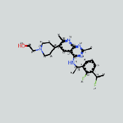 Cc1nc(N[C@H](C)c2cccc(C(C)F)c2F)c2cc(C3CCN(CCO)CC3)c(C)nc2n1